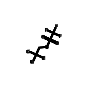 O=S(=O)(OCC(Cl)(Cl)Cl)C(F)(F)F